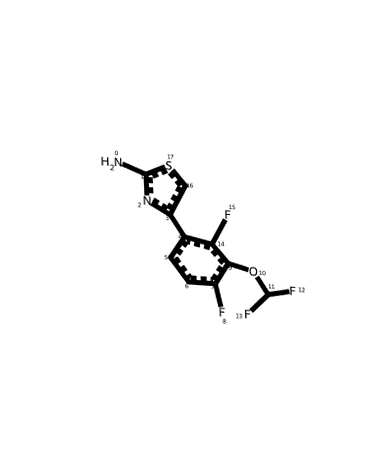 Nc1nc(-c2ccc(F)c(OC(F)F)c2F)cs1